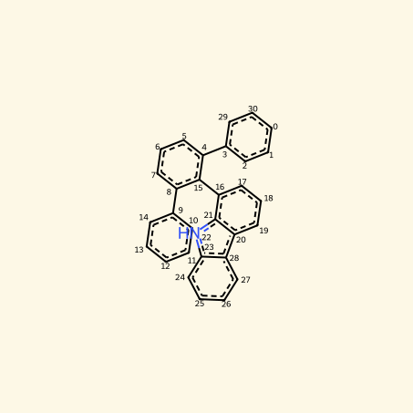 c1ccc(-c2cccc(-c3ccccc3)c2-c2cccc3c2[nH]c2ccccc23)cc1